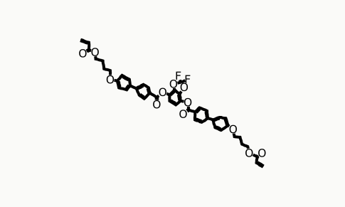 C=CC(=O)OCCCCOc1ccc(-c2ccc(C(=O)Oc3ccc(OC(=O)c4ccc(-c5ccc(OCCCCOC(=O)C=C)cc5)cc4)c4c3OC(F)(F)O4)cc2)cc1